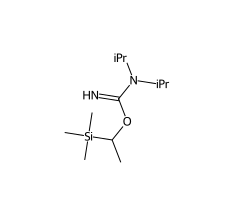 CC(C)N(C(=N)OC(C)[Si](C)(C)C)C(C)C